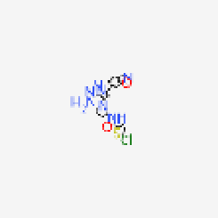 Nc1ncnn2c(-c3ccc4cnoc4c3)cc(N3CCCC(NC(=O)c4ccc(Cl)s4)C3)c12